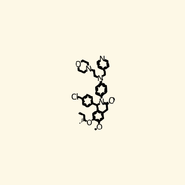 CC[C@@H](C)Oc1cc2c(cc1OC)CC(=O)N(c1ccc(N(CCN3CCOCC3)Cc3ccncc3)cc1)C2c1ccc(Cl)cc1